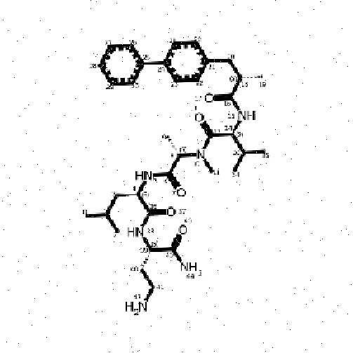 CC(C)C[C@@H](NC(=O)[C@H](C)N(C)C(=O)[C@@H](NC(=O)[C@@H](C)Cc1ccc(-c2ccccc2)cc1)C(C)C)C(=O)N[C@@H](CCN)C(N)=O